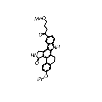 COCCCC(=O)c1ccc2[nH]c3c4c(c5c(c3c2c1)CNC5=O)-c1ccc(OC(C)C)cc1CC4